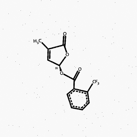 CC1=C[C@H](OC(=O)c2ccccc2C(F)(F)F)OC1=O